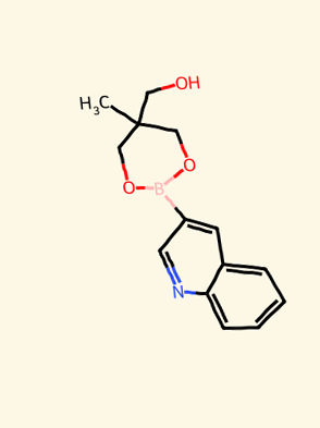 CC1(CO)COB(c2cnc3ccccc3c2)OC1